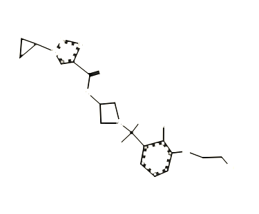 CC(C)(c1cccc(OCCO)c1Cl)N1CC(NC(=O)c2cn(C3CC3)nn2)C1